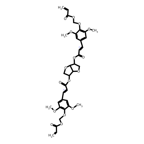 C=CC(=O)OCOc1c(OC)cc(/C=C/C(=O)OC2COC3C(OC(=O)/C=C/c4cc(OC)c(OCOC(=O)C=C)c(OC)c4)COC23)cc1OC